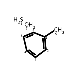 Cc1ccccc1.O.S